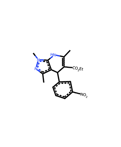 CCOC(=O)C1=C(C)Nc2c(c(C)nn2C)C1c1cccc([N+](=O)[O-])c1